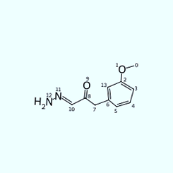 COc1cccc(CC(=O)C=NN)c1